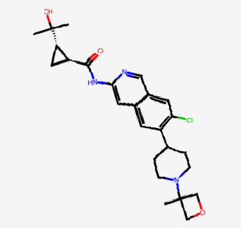 CC(C)(O)[C@H]1C[C@@H]1C(=O)Nc1cc2cc(C3CCN(C4(C)COC4)CC3)c(Cl)cc2cn1